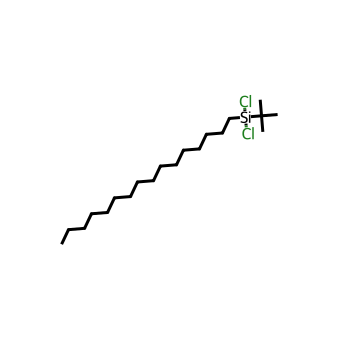 CCCCCCCCCCCCCCCC[Si](Cl)(Cl)C(C)(C)C